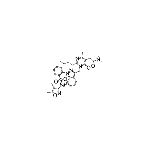 CCCCc1nc(C)c(CC(=O)N(C)C)c(=O)n1Cc1nn(-c2ccccc2S(=O)(=O)Nc2noc(C)c2C)c2ccccc12